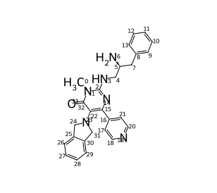 Cn1c(NC[C@@H](N)Cc2ccccc2)nc(-c2ccncc2)c(N2Cc3ccccc3C2)c1=O